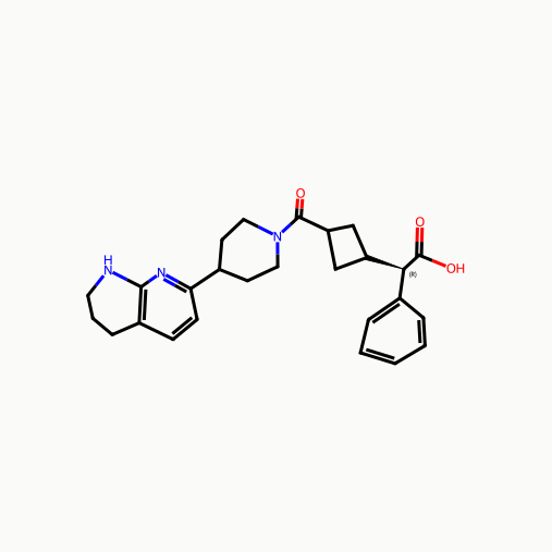 O=C(O)[C@@H](c1ccccc1)C1CC(C(=O)N2CCC(c3ccc4c(n3)NCCC4)CC2)C1